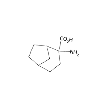 NC1(C(=O)O)CCC2CCC1C2